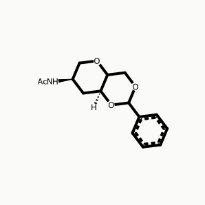 CC(=O)N[C@H]1COC2COC(c3ccccc3)O[C@H]2C1